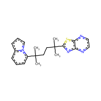 CC(C)(CCC(C)(C)c1cccc2cccn12)c1nc2nccnc2s1